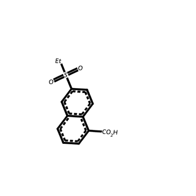 CCS(=O)(=O)c1ccc2c(C(=O)O)cccc2c1